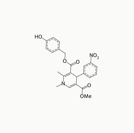 COC(=O)C1=CN(C)C(C)=C(C(=O)OCc2ccc(O)cc2)C1c1cccc([N+](=O)[O-])c1